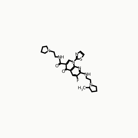 CC1CCCN1CCNc1nc2c(cc1F)c(=O)c(C(=O)NCCN1CCCC1)cn2-c1nccs1